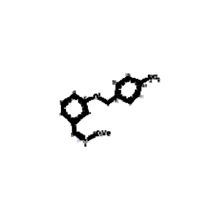 CO/N=C\c1cccc(OCc2ccc([N+](=O)[O-])cc2)c1